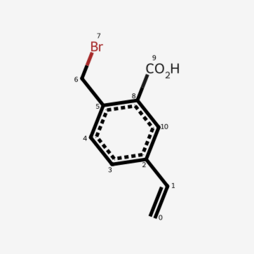 C=Cc1ccc(CBr)c(C(=O)O)c1